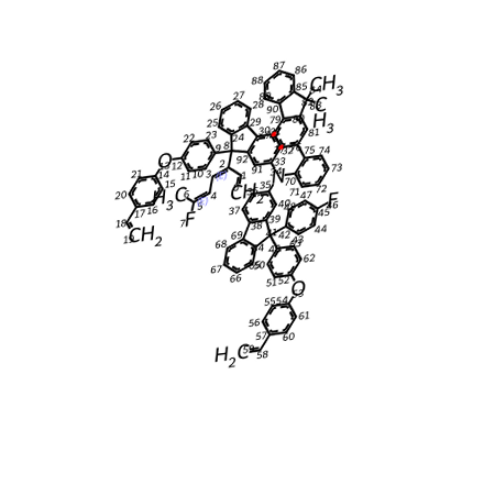 C=C/C(=C\C=C(/C)F)C1(c2ccc(Oc3ccc(C=C)cc3)cc2)c2ccccc2-c2ccc(N(c3ccc4c(c3)C(c3ccc(F)cc3)(c3ccc(Oc5ccc(C=C)cc5)cc3)c3ccccc3-4)c3ccccc3-c3ccc4c(c3)C(C)(C)c3ccccc3-4)cc21